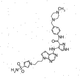 CN1CCN(Cc2ccc(NC(=O)c3n[nH]cc3Nc3ncnc4c3ccn4CCCn3ccc(S(N)(=O)=O)c3)cc2)CC1